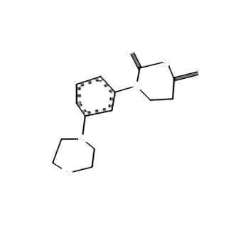 Cl.O=C1CCN(c2cccc(N3CCNCC3)c2)C(=O)N1